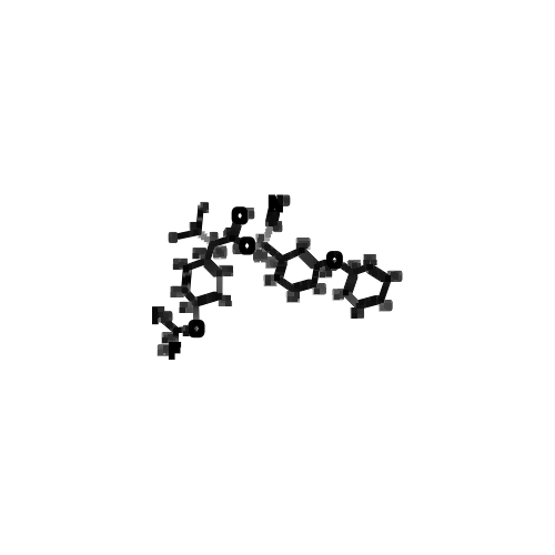 CC(C)[C@H](C(=O)O[C@H](C#N)c1cccc(Oc2ccccc2)c1)c1ccc(OC(F)F)cc1